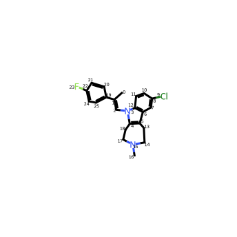 CC(=Cn1c2c(c3cc(Cl)ccc31)CCN(C)CC2)c1ccc(F)cc1